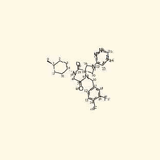 C[C@H]1CC[C@H](N2CC(=O)N(Cc3ccc(F)c(F)c3)C3(CN(c4cccnn4)C3)C2=O)CC1